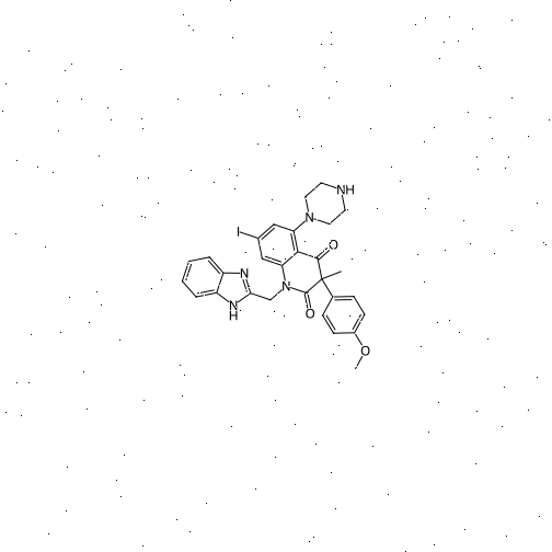 COc1ccc(C2(C)C(=O)c3c(N4CCNCC4)cc(I)cc3N(Cc3nc4ccccc4[nH]3)C2=O)cc1